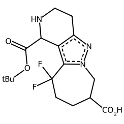 CC(C)(C)OC(=O)C1NCCc2nn3c(c21)C(F)(F)CCC(C(=O)O)C3